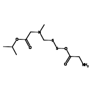 CC(C)OC(=O)CN(C)CSSOC(=O)CN